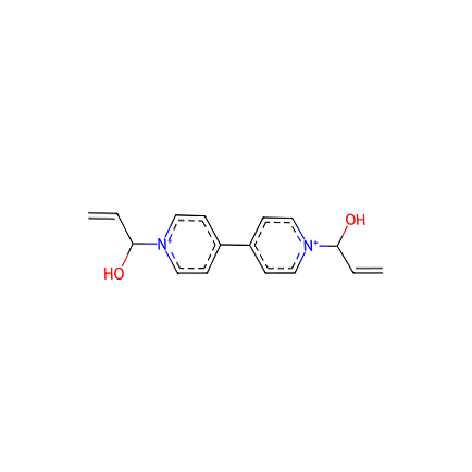 C=CC(O)[n+]1ccc(-c2cc[n+](C(O)C=C)cc2)cc1